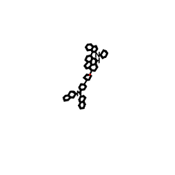 c1ccc(Nc2ccc3ccccc3c2-c2ccc3ccc4c(-c5ccc(-c6ccc(N(c7ccc8ccccc8c7)c7ccc8ccccc8c7)cc6)cc5)ccc5ccc2c3c54)cc1